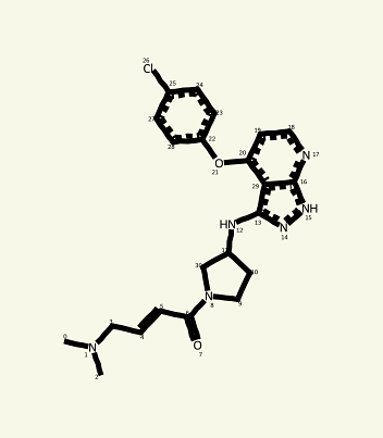 CN(C)C/C=C/C(=O)N1CCC(Nc2n[nH]c3nccc(Oc4ccc(Cl)cc4)c23)C1